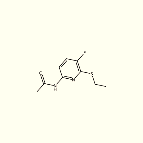 CCSc1nc(NC(C)=O)ccc1F